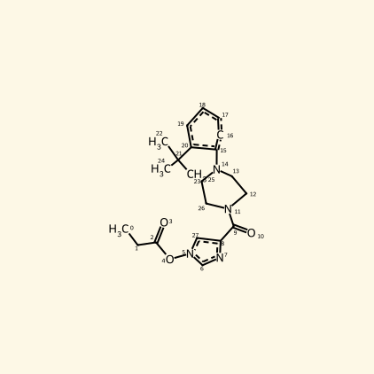 CCC(=O)On1cnc(C(=O)N2CCN(c3ccccc3C(C)(C)C)CC2)c1